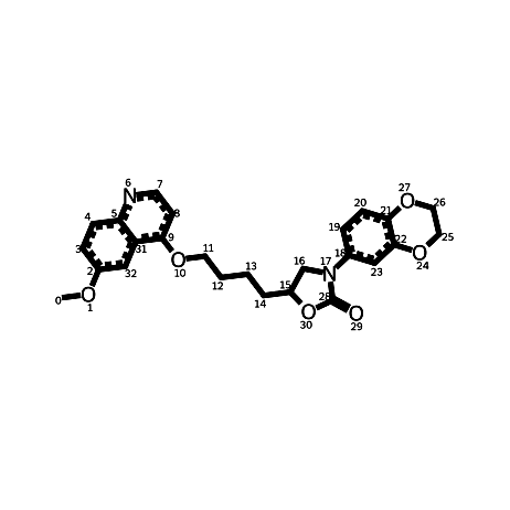 COc1ccc2nccc(OCCCCC3CN(c4ccc5c(c4)OCCO5)C(=O)O3)c2c1